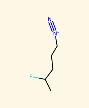 CC(F)CCC[N+]#N